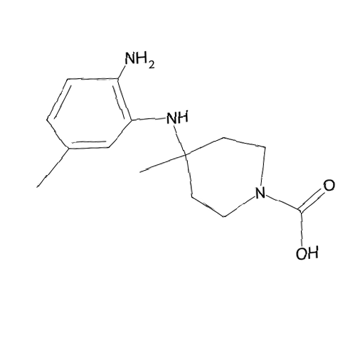 Cc1ccc(N)c(NC2(C)CCN(C(=O)O)CC2)c1